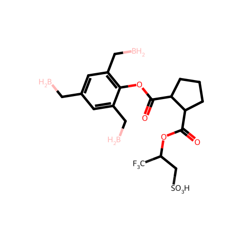 BCc1cc(CB)c(OC(=O)C2CCCC2C(=O)OC(CS(=O)(=O)O)C(F)(F)F)c(CB)c1